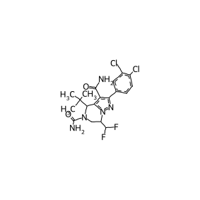 CC(C)(C)C1c2c(C(N)=O)c(-c3ccc(Cl)c(Cl)c3)nn2C(C(F)F)CN1C(N)=O